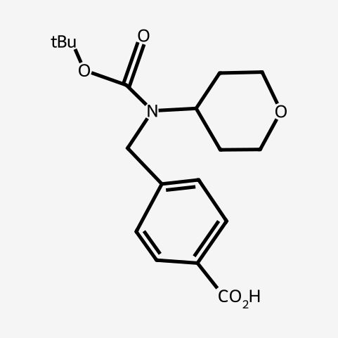 CC(C)(C)OC(=O)N(Cc1ccc(C(=O)O)cc1)C1CCOCC1